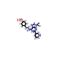 CC(C)n1cnc2c(N(C)CCc3ccc(O)cc3)nc(-c3cccnc3)nc21